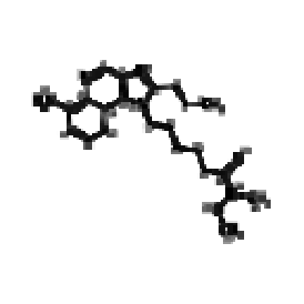 CCCc1nc2cnc3c(N)cccc3c2n1CCCCCC(=O)N(C)OC